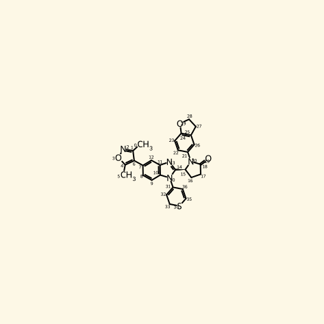 Cc1noc(C)c1-c1ccc2c(c1)nc([C@@H]1CCC(=O)N1c1ccc3c(c1)CCO3)n2C1=CCSC=C1